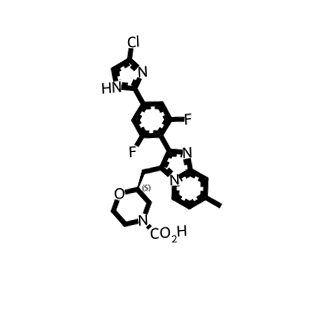 Cc1ccn2c(C[C@H]3CN(C(=O)O)CCO3)c(-c3c(F)cc(-c4nc(Cl)c[nH]4)cc3F)nc2c1